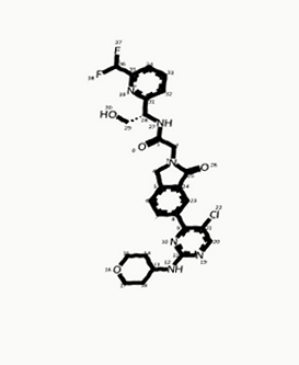 O=C(CN1Cc2ccc(-c3nc(NC4CCOCC4)ncc3Cl)cc2C1=O)N[C@H](CO)c1cccc(C(F)F)n1